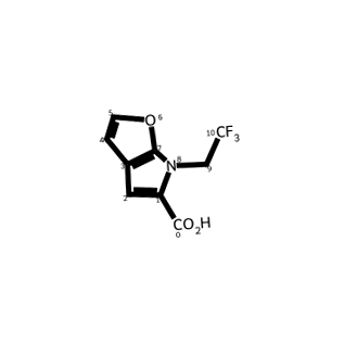 O=C(O)c1cc2ccoc2n1CC(F)(F)F